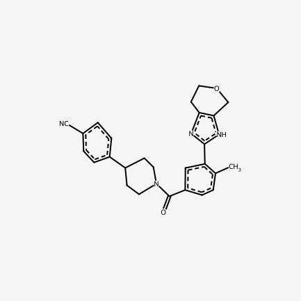 Cc1ccc(C(=O)N2CCC(c3ccc(C#N)cc3)CC2)cc1-c1nc2c([nH]1)COCC2